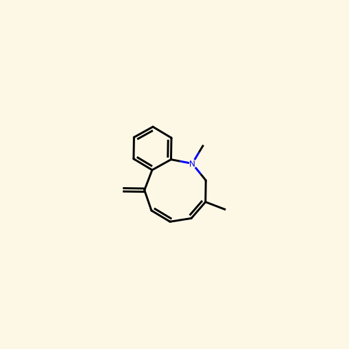 C=C1/C=C\C=C(\C)CN(C)c2ccccc21